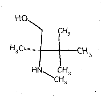 CN[C@@](C)(CO)C(C)(C)C